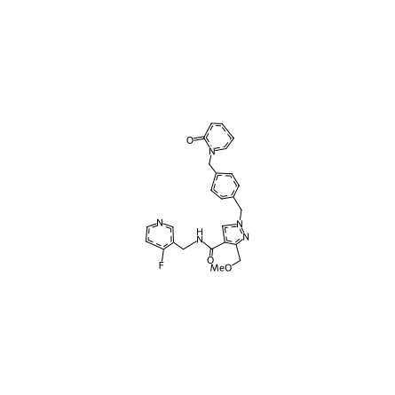 COCc1nn(Cc2ccc(Cn3ccccc3=O)cc2)cc1C(=O)NCc1cnccc1F